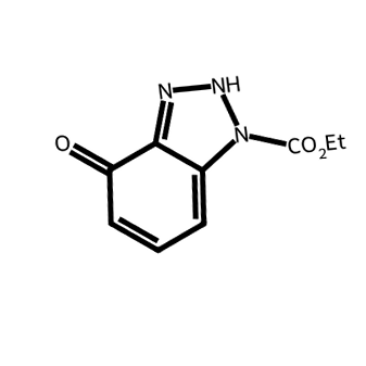 CCOC(=O)n1[nH]nc2c(=O)cccc1-2